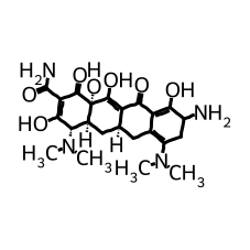 CN(C)C1=C2C[C@H]3C[C@H]4[C@H](N(C)C)C(O)=C(C(N)=O)C(=O)[C@@]4(O)C(O)=C3C(=O)C2=C(O)C(N)C1